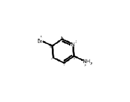 NC1=CCC(Br)C=N1